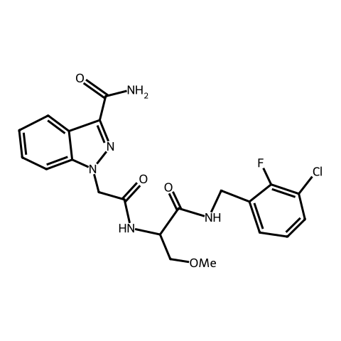 COCC(NC(=O)Cn1nc(C(N)=O)c2ccccc21)C(=O)NCc1cccc(Cl)c1F